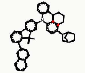 CC1(C)c2cc(N(c3ccc(C4CC5CCC4C5)cc3)c3ccccc3C3CCCCC3)ccc2-c2cccc(-c3ccc4ccccc4c3)c21